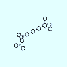 N#Cc1ccccc1-c1nc(-c2ccccc2)cc(-c2ccc(-c3ccc(-c4ccc(-n5c6ccccc6c6cc(N(c7ccccc7)c7ccccc7)ccc65)cc4)cc3)cc2)n1